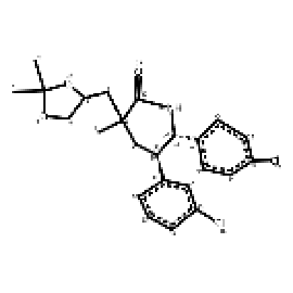 CC1(C)OCC(CC2(C)C[C@H](c3cccc(Cl)c3)[C@@H](c3ccc(Cl)cc3)NC2=O)O1